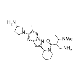 CNC(C)C(CN)C(=O)N1CCCC[C@H]1c1cc2nc(N3CC[C@H](N)C3)c(C)cn2n1